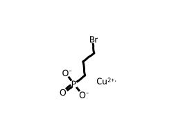 O=P([O-])([O-])CCCBr.[Cu+2]